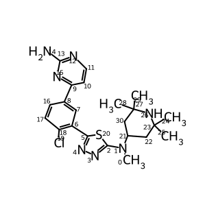 CN(c1nnc(-c2cc(-c3ccnc(N)n3)ccc2Cl)s1)C1CC(C)(C)NC(C)(C)C1